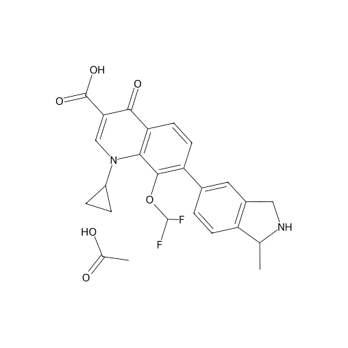 CC(=O)O.CC1NCc2cc(-c3ccc4c(=O)c(C(=O)O)cn(C5CC5)c4c3OC(F)F)ccc21